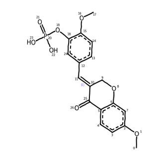 COc1ccc2c(c1)OC/C(=C\c1ccc(OC)c(OP(=O)(O)O)c1)C2=O